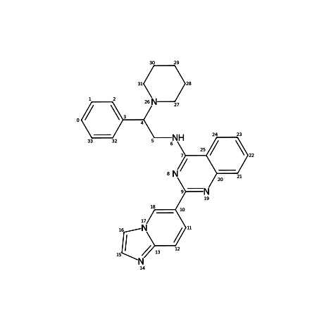 c1ccc(C(CNc2nc(-c3ccc4nccn4c3)nc3ccccc23)N2CCCCC2)cc1